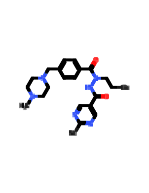 CN1CCN(Cc2ccc(C(=O)N(CCC(C)(C)C)NC(=O)c3cnc(C#N)nc3)cc2)CC1